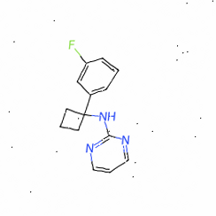 Fc1cccc(C2(Nc3ncccn3)CCC2)c1